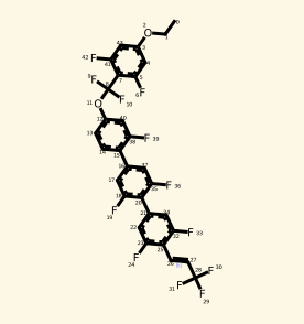 CCOc1cc(F)c(C(F)(F)Oc2ccc(-c3cc(F)c(-c4cc(F)c(/C=C/C(F)(F)F)c(F)c4)c(F)c3)c(F)c2)c(F)c1